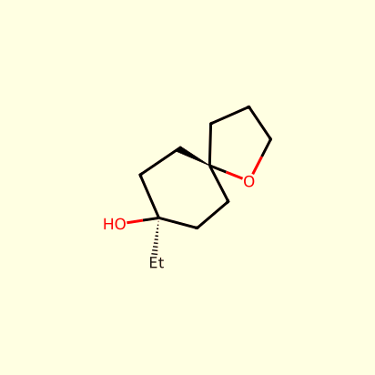 CC[C@]1(O)CC[C@]2(CCCO2)CC1